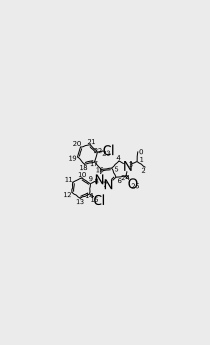 CC(C)N1Cc2c(nn(-c3ccccc3Cl)c2-c2ccccc2Cl)C1=O